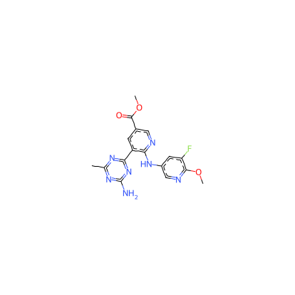 COC(=O)c1cnc(Nc2cnc(OC)c(F)c2)c(-c2nc(C)nc(N)n2)c1